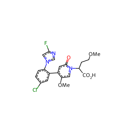 COCCC(C(=O)O)n1cc(OC)c(-c2cc(Cl)ccc2-n2cnc(F)c2)cc1=O